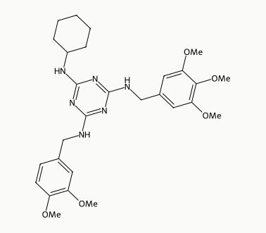 COc1ccc(CNc2nc(NCc3cc(OC)c(OC)c(OC)c3)nc(NC3CCCCC3)n2)cc1OC